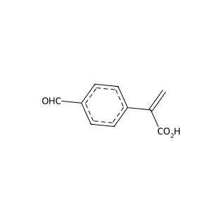 C=C(C(=O)O)c1ccc(C=O)cc1